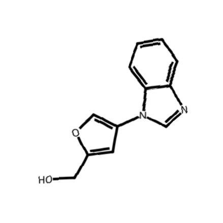 OCc1cc(-n2cnc3ccccc32)co1